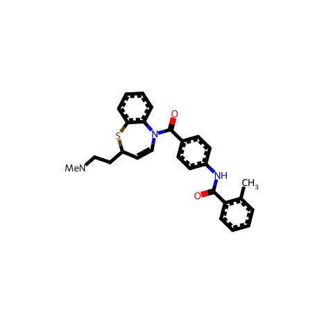 CNCCC1C=CN(C(=O)c2ccc(NC(=O)c3ccccc3C)cc2)c2ccccc2S1